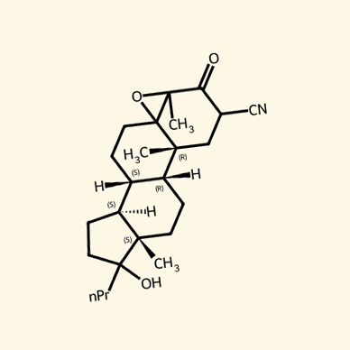 CCCC1(O)CC[C@H]2[C@@H]3CCC45OC4(C)C(=O)C(C#N)C[C@]5(C)[C@@H]3CC[C@@]21C